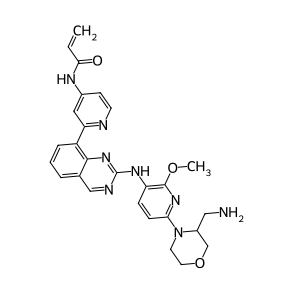 C=CC(=O)Nc1ccnc(-c2cccc3cnc(Nc4ccc(N5CCOCC5CN)nc4OC)nc23)c1